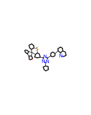 c1ccc(-c2nc(-c3ccc(-c4cccc5cccnc45)cc3)nc(-c3ccc4c(c3)Sc3ccccc3C43c4ccccc4-c4ccccc43)n2)cc1